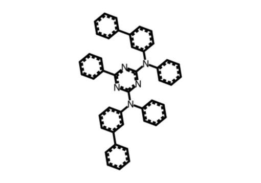 c1ccc(-c2cccc(N(c3ccccc3)c3nc(-c4ccccc4)nc(N(c4ccccc4)c4cccc(-c5ccccc5)c4)n3)c2)cc1